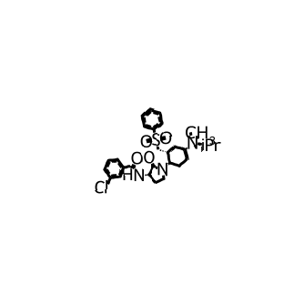 CC(C)N(C)[C@@H]1CC[C@H](N2CC[C@H](NC(=O)c3cccc(Cl)c3)C2=O)[C@H](CS(=O)(=O)c2ccccc2)C1